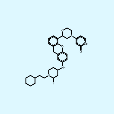 O=c1cc(N2CCOC(c3cccc4c3Oc3ccc(NC5CCN(CCC6CCCCC6)C(I)C5)cc3C4)C2)cc[nH]1